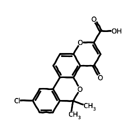 CC1(C)Oc2c(ccc3oc(C(=O)O)cc(=O)c23)-c2cc(Cl)ccc21